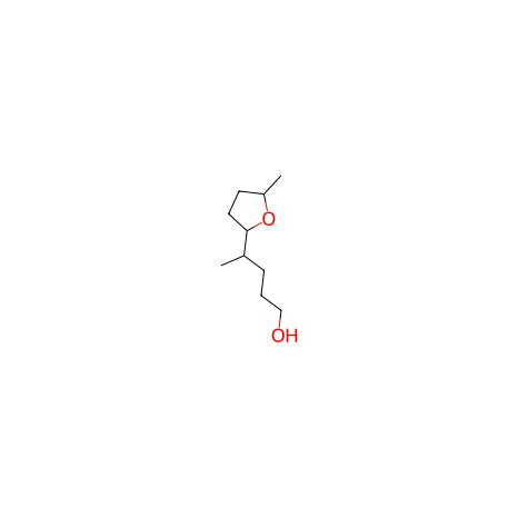 CC1CCC(C(C)CCCO)O1